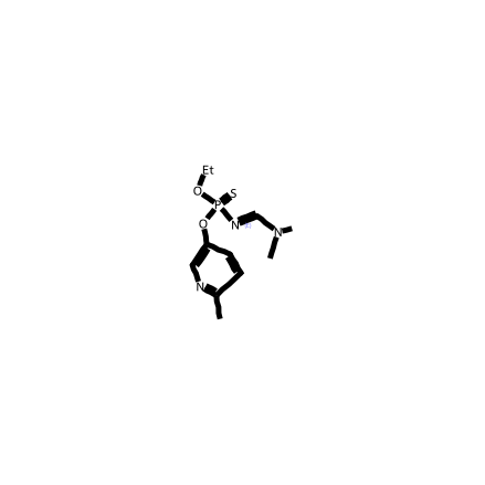 CCOP(=S)(/N=C/N(C)C)Oc1ccc(C)nc1